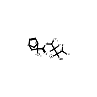 O=C(OC(C(F)(F)F)C(F)(F)C(O)(C(F)F)C(F)(F)F)C1(C(F)(F)F)CC2C=CC1C2